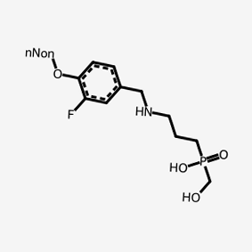 CCCCCCCCCOc1ccc(CNCCCP(=O)(O)CO)cc1F